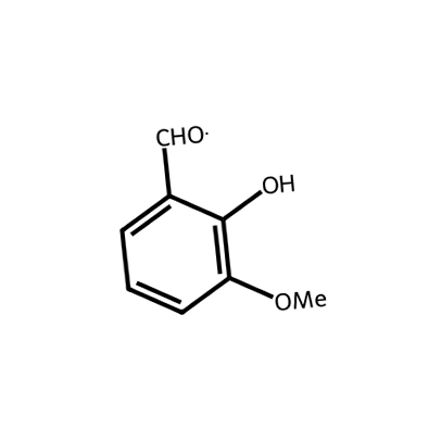 COc1cccc([C]=O)c1O